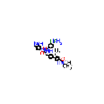 Cc1cc(C(=O)NC(C)C)ccc1-c1ccc(C[C@@H](NC(=O)[C@H]2CC[C@H](CN)CC2)C(=O)Nc2ccc3cn[nH]c3c2)cc1.Cl